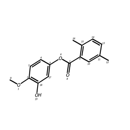 COc1ccc(OC(=O)c2cc(C)ccc2C)cc1O